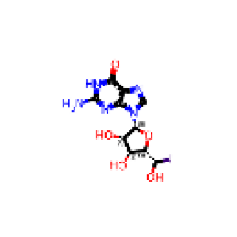 Nc1nc2c(ncn2[C@@H]2O[C@H](C(O)I)[C@@H](O)[C@H]2O)c(=O)[nH]1